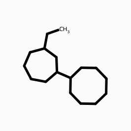 CCC1CCCCC(C2CCCCCCC2)C1